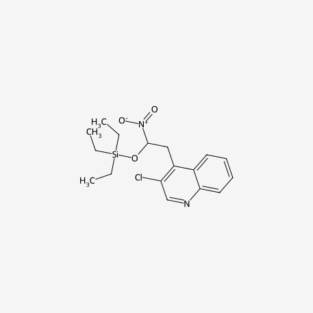 CC[Si](CC)(CC)OC(Cc1c(Cl)cnc2ccccc12)[N+](=O)[O-]